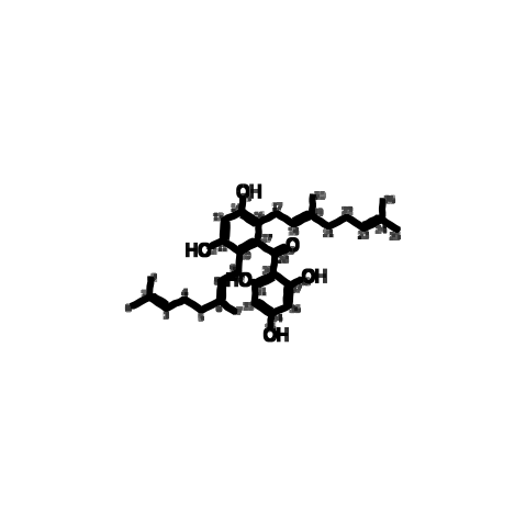 CC(C)=CCC/C(C)=C/Cc1c(O)cc(O)c(C/C=C(\C)CCC=C(C)C)c1C(=O)c1c(O)cc(O)cc1O